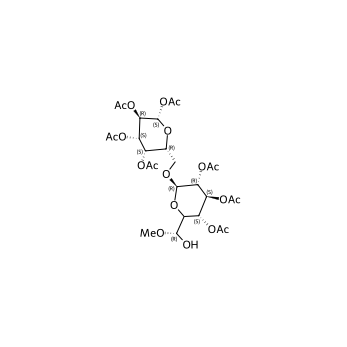 CO[C@@H](O)C1O[C@@H](OC[C@H]2O[C@@H](OC(C)=O)[C@H](OC(C)=O)[C@@H](OC(C)=O)[C@H]2OC(C)=O)[C@H](OC(C)=O)[C@@H](OC(C)=O)[C@@H]1OC(C)=O